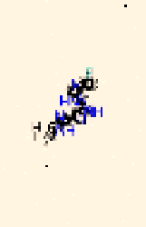 CC(C)Nc1cncc(-c2cnc3[nH]nc(-c4nc5c(-c6cccc(F)c6)nccc5[nH]4)c3c2)c1